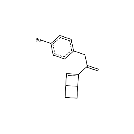 C=C(Cc1ccc(C(C)CC)cc1)C1=CC2CCC12